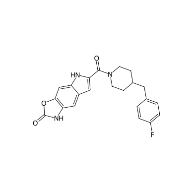 O=C(c1cc2cc3[nH]c(=O)oc3cc2[nH]1)N1CCC(Cc2ccc(F)cc2)CC1